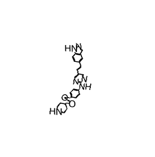 O=S(=O)(c1ccc(Nc2ncc(C=Cc3ccc4[nH]ncc4c3)cn2)cc1)C1CCNCC1